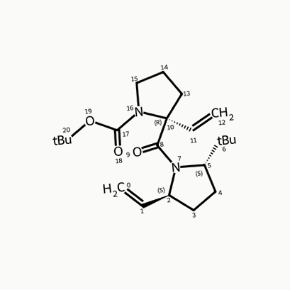 C=C[C@@H]1CC[C@@H](C(C)(C)C)N1C(=O)[C@]1(C=C)CCCN1C(=O)OC(C)(C)C